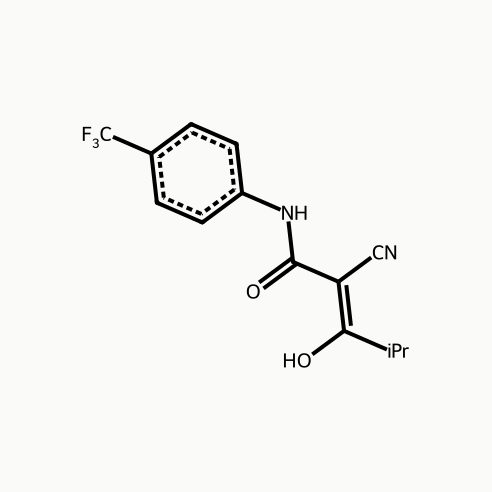 CC(C)/C(O)=C(\C#N)C(=O)Nc1ccc(C(F)(F)F)cc1